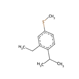 CCc1cc(SC)ccc1C(C)C